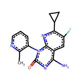 Cc1ncccc1-n1c(=O)nc(N)c2cc(F)c(C3CC3)nc21